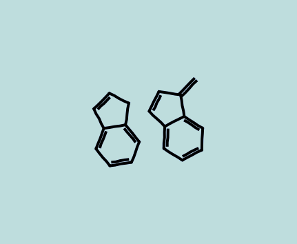 C1=Cc2ccccc2C1.C=C1C=Cc2ccccc21